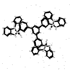 S=P1(c2cccc(-c3cc(-c4cccc(P5(=S)Sc6ccccc6N5c5ccccc5)c4)cc(-c4cccc(P5(=S)Sc6ccccc6N5c5ccccc5)c4)c3)c2)Sc2ccccc2N1c1ccccc1